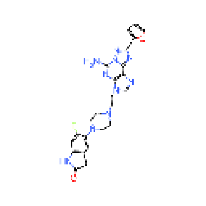 Nc1nc2c(ncn2CCN2CCN(c3cc4c(cc3F)NC(=O)C4)CC2)c2nc(-c3ccco3)nn12